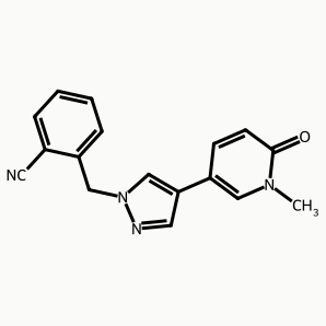 Cn1cc(-c2cnn(Cc3ccccc3C#N)c2)ccc1=O